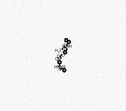 CCOC(=O)C(Cc1ccc(OCC2CN(c3ccc(C(=N)NC(=O)c4ccccc4)cc3)C(=O)O2)cc1)NC(=O)c1cccc2ccccc12